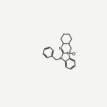 [O-][N+]12CC3CCCCC3N=C1N(Cc1ccccc1)c1ccccc12